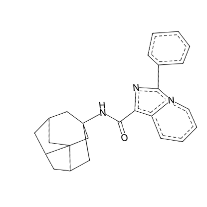 O=C(NC12CC3CC4CC(C1)C4(C3)C2)c1nc(-c2ccccc2)n2ccccc12